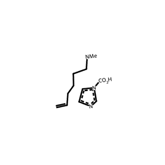 C=CCCCCNC.O=C(O)n1ccnc1